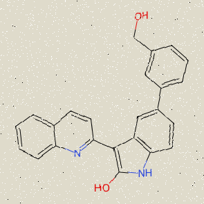 OCc1cccc(-c2ccc3[nH]c(O)c(-c4ccc5ccccc5n4)c3c2)c1